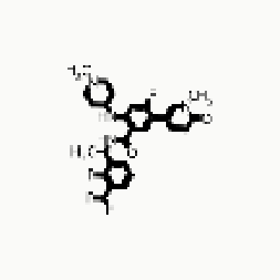 C[C@@H](NC(=O)c1cc(-c2ccc(=O)n(C)c2)c(F)cc1NC1CCN(C)CC1)c1cccc(C(F)F)c1F